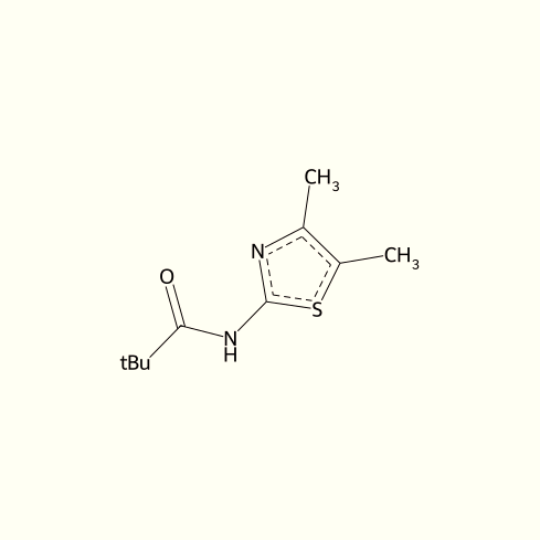 Cc1nc(NC(=O)C(C)(C)C)sc1C